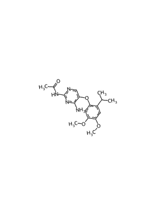 COc1cc(Oc2cnc(NC(C)=O)nc2N)c(C(C)C)cc1OC